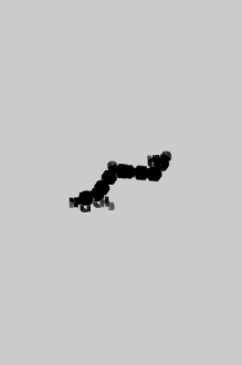 C[C@@H]1CC2(CCN(c3ccc(C(=O)N4CCC5(CC4)CC(N4CCN(c6cccc(N7CCC(=O)NC7=O)c6)CC4)C5)cc3)CC2)CN1c1ccc(C#N)c(Cl)c1